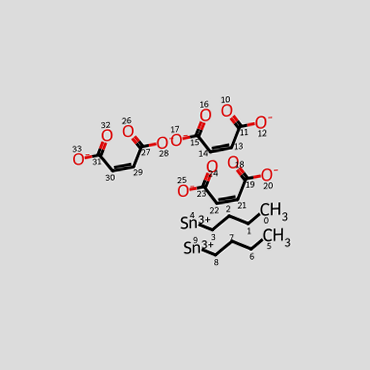 CCC[CH2][Sn+3].CCC[CH2][Sn+3].O=C([O-])/C=C\C(=O)[O-].O=C([O-])/C=C\C(=O)[O-].O=C([O-])/C=C\C(=O)[O-]